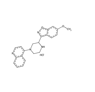 COc1ccc2c(C3CN(c4ccnc5ccccc45)CCN3)noc2c1.Cl